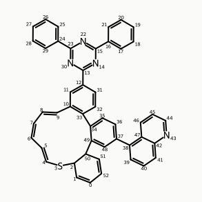 C1=CC2S/C=C/C=C\C=C\c3cc(-c4nc(-c5ccccc5)nc(-c5ccccc5)n4)ccc3-c3ccc(-c4cccc5ncccc45)cc3C2C=C1